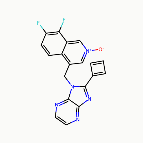 [O-][n+]1cc(Cn2c(C3=CC=C3)nc3nccnc32)c2ccc(F)c(F)c2c1